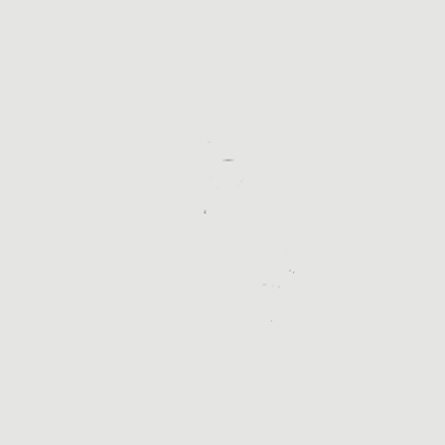 Cc1c(Br)c2c(c(C)c1C(=O)O)OC(C)(C1CCC(NC(=O)OC(C)(C)C)CC1)O2